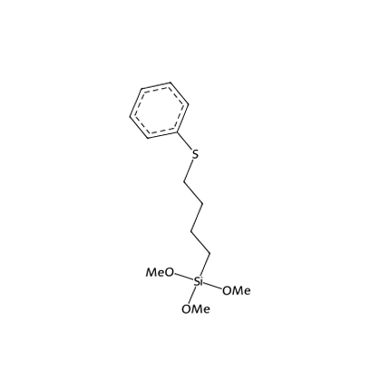 CO[Si](CCCCSc1ccccc1)(OC)OC